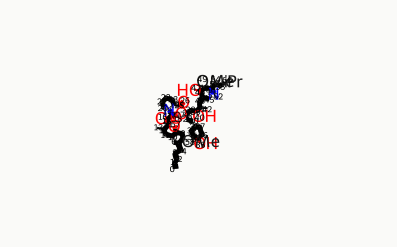 C=C/C=C/C=C(\C)[C@H](CC1CC[C@@H](C)C(C(=O)C(=O)N2CCCC[C@H]2C(=O)O[C@H](CC[C@H]2CC[C@H](O)CC2)C[C@@H](O)[C@H](C)/C=C(\C)[C@@H](O)[C@@H](OC)/C(=N/C)[C@H](C)CC(C)C)O1)OC